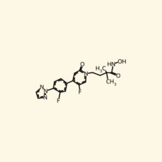 CC(C)(CCn1cc(F)c(-c2ccc(-n3nccn3)c(F)c2)cc1=O)C(=O)NO